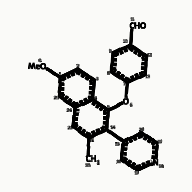 COc1ccc2c(Oc3ccc(C=O)cc3)c(-c3ccncc3)c(C)cc2c1